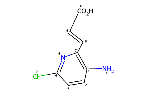 Nc1ccc(Cl)nc1C=CC(=O)O